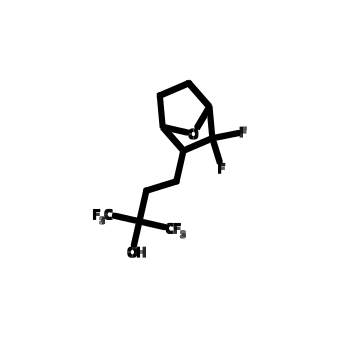 OC(CCC1C2CCC(O2)C1(F)F)(C(F)(F)F)C(F)(F)F